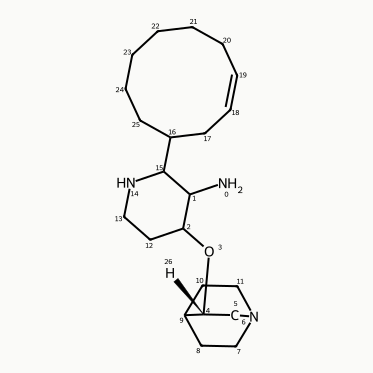 NC1C(O[C@@H]2CN3CCC2CC3)CCNC1C1C/C=C\CCCCCC1